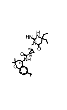 CCC1(CC)CC(=O)N(C[C@@H]2C[C@H]2C(=O)N[C@@H]2CC(C)(C)Oc3ccc(F)cc32)C(=N)N1